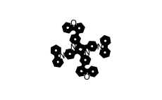 c1ccc2c(c1)oc1cccc(-c3ccc4c(c3)c3c5c6ccc(-n7c8ccccc8c8ccccc87)cc6n6c7ccc(-c8cccc9oc%10ccccc%10c89)cc7c(c7c8ccc(-n9c%10ccccc%10c%10ccccc%109)cc8n4c37)c56)c12